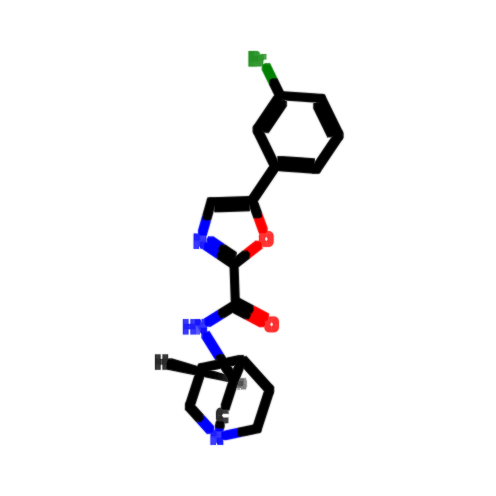 O=C(N[C@H]1CN2CCC1CC2)c1ncc(-c2cccc(Br)c2)o1